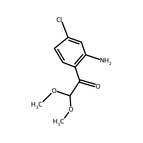 COC(OC)C(=O)c1ccc(Cl)cc1N